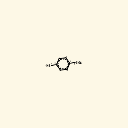 C[CH]c1ccc(C(C)(C)C)cc1